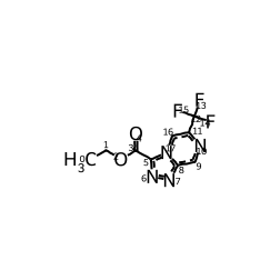 CCOC(=O)c1nnc2cnc(C(F)(F)F)cn12